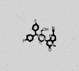 C[C@@H]1CN(C(c2ccc(F)cc2)c2ccc(F)cc2)[C@@H](CO)CN1c1cc(=O)n(C)c2ccc(C#N)nc12